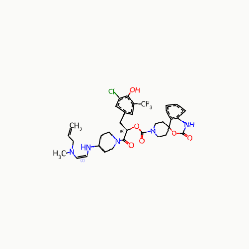 C=CCN(C)/C=C\NC1CCN(C(=O)[C@@H](Cc2cc(Cl)c(O)c(C(F)(F)F)c2)OC(=O)N2CCC3(CC2)OC(=O)Nc2ccccc23)CC1